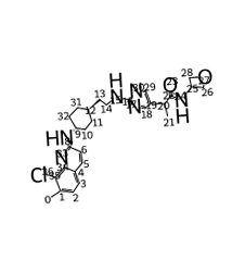 Cc1ccc2ccc(N[C@H]3CC[C@H](CCNc4ncc(C(C)C(=O)NC5COC5)cn4)CC3)nc2c1Cl